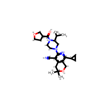 CC(C)C1CN(c2nc(C3CC3)c3c(c2C#N)CC(C)(C)OC3)CCN1C(=O)C1CCOC1